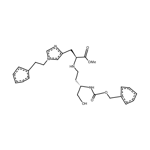 COC(=O)[C@H](Cc1cn(CCc2ccccc2)cn1)NCC[C@@H](CO)NC(=O)OCc1ccccc1